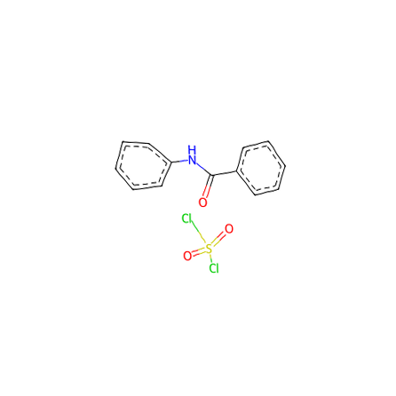 O=C(Nc1ccccc1)c1ccccc1.O=S(=O)(Cl)Cl